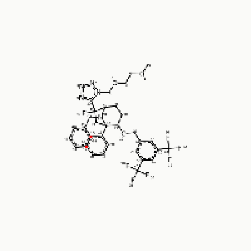 COCCOCn1nnnc1C1(F)CC2(c3ccccc3)C(OCc3cc(C(F)(F)F)cc(C(F)(F)F)c3)CCC1N2Cc1ccccc1